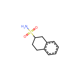 NS(=O)(=O)C1CCc2ccccc2C1